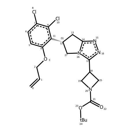 C=CCOc1ccc(Cl)c(Cl)c1[C@@H]1Cc2nnc(C3CN(C(=O)OC(C)(C)C)C3)n2C1